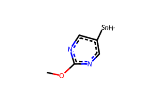 COc1nc[c]([SnH])cn1